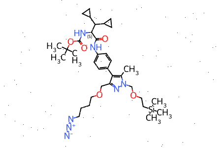 Cc1c(-c2ccc(NC(=O)[C@@H](NC(=O)OC(C)(C)C)C(C3CC3)C3CC3)cc2)c(COCCCCN=[N+]=[N-])nn1COCC[Si](C)(C)C